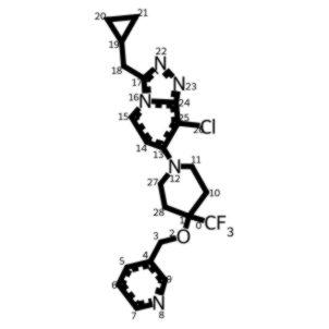 FC(F)(F)C1(OCc2cccnc2)CCN(c2ccn3c(CC4CC4)nnc3c2Cl)CC1